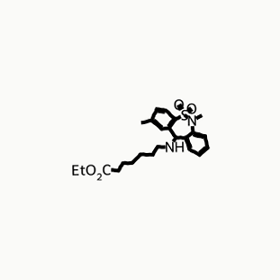 CCOC(=O)CCCCCCNC1c2ccccc2N(C)S(=O)(=O)c2ccc(C)cc21